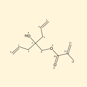 C=CCC(O)(CC=C)COC(=O)C(=C)C